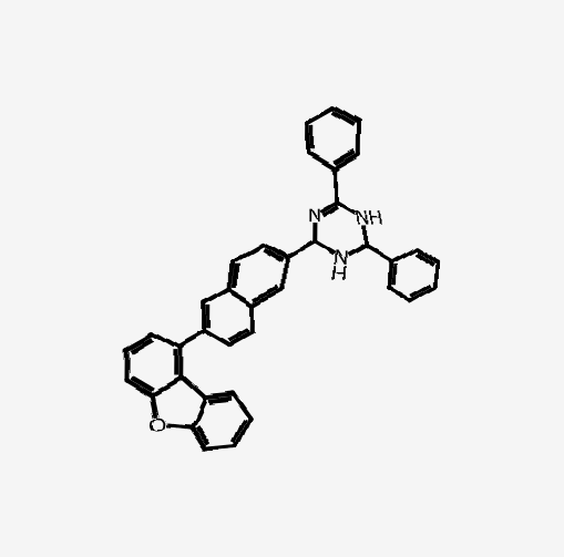 c1ccc(C2=NC(c3ccc4cc(-c5cccc6oc7ccccc7c56)ccc4c3)NC(c3ccccc3)N2)cc1